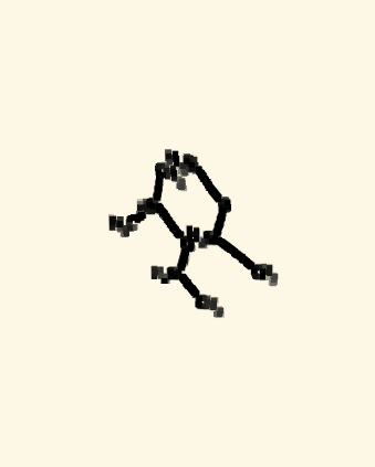 C[SiH2]O[SiH3].C[SiH2]O[SiH](C)C